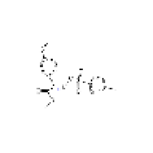 COC(=O)/C(=N/OS(=O)(=O)c1ccc(C)cc1)c1ccc(SC)cc1